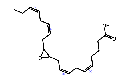 CC/C=C\C/C=C\CC1OC1C/C=C\C/C=C\CCCC(=O)O